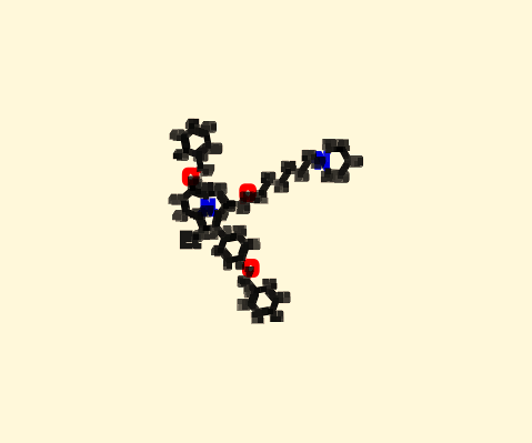 CCc1c(-c2ccc(OCc3ccccc3)cc2)c2c(COCCCCCCN3CCCCC3)cc3c(OCc4ccccc4)ccc1n32